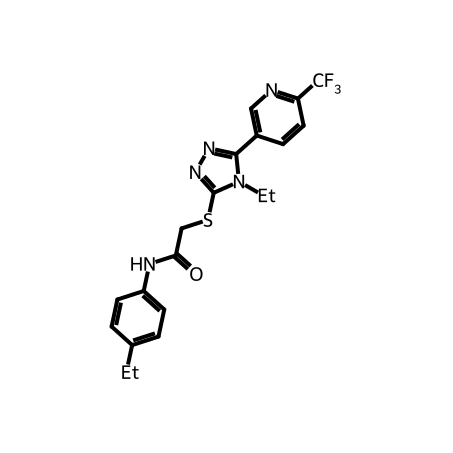 CCc1ccc(NC(=O)CSc2nnc(-c3ccc(C(F)(F)F)nc3)n2CC)cc1